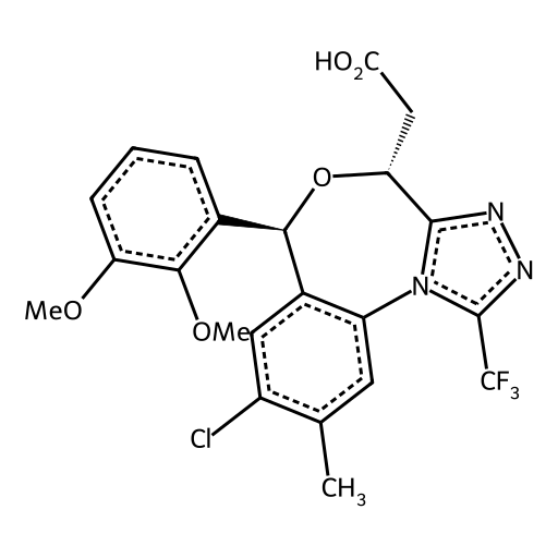 COc1cccc([C@H]2O[C@H](CC(=O)O)c3nnc(C(F)(F)F)n3-c3cc(C)c(Cl)cc32)c1OC